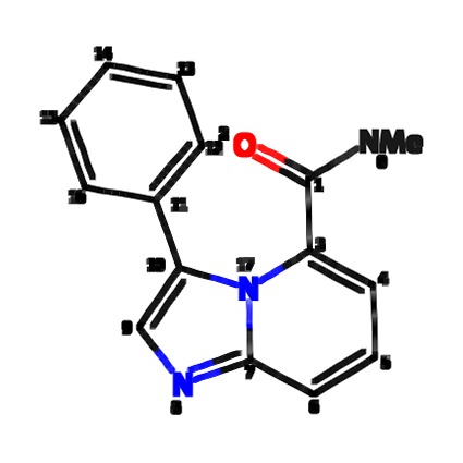 CNC(=O)c1cccc2ncc(-c3ccccc3)n12